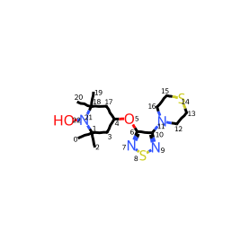 CC1(C)CC(Oc2nsnc2N2CCSCC2)CC(C)(C)N1O